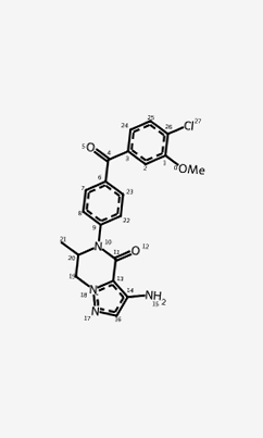 COc1cc(C(=O)c2ccc(N3C(=O)c4c(N)cnn4CC3C)cc2)ccc1Cl